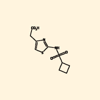 O=C(O)Cc1csc(NS(=O)(=O)C2CCC2)n1